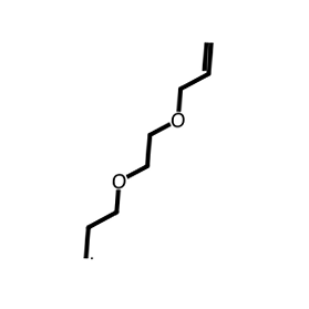 [CH2]CCOCCOCC=C